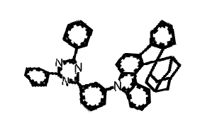 c1ccc(-c2nc(-c3ccccc3)nc(-c3cccc(-n4c5ccccc5c5c6c(ccc54)-c4ccccc4C64C5CC6CC(C5)CC4C6)c3)n2)cc1